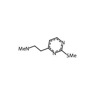 CNCCc1ccnc(SC)n1